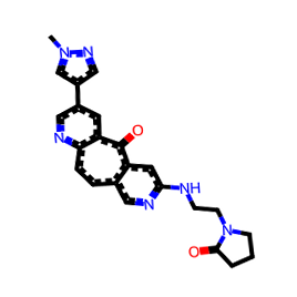 Cn1cc(-c2cnc3ccc4cnc(NCCN5CCCC5=O)cc4c(=O)c3c2)cn1